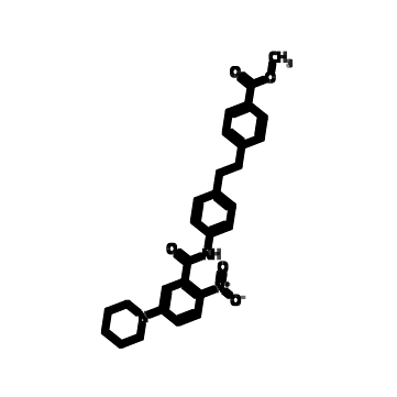 COC(=O)c1ccc(CCc2ccc(NC(=O)c3cc(N4CCCCC4)ccc3[N+](=O)[O-])cc2)cc1